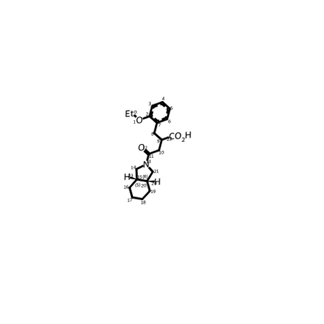 CCOc1ccccc1CC(CC(=O)N1C[C@H]2CCCC[C@H]2C1)C(=O)O